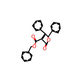 O=C(OCc1ccccc1)C1=C(c2ccccc2)C(c2ccccc2)OC1=O